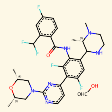 C[C@@H]1CN(c2nccc(-c3c(F)cc(C4NCCN(C)[C@H]4C)c(NC(=O)c4ccc(F)cc4C(F)F)c3F)n2)C[C@H](C)O1.O=CO